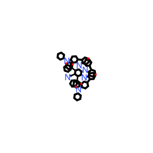 N#Cc1c(-c2ccccc2)c(-n2c3ccccc3c3ccc4c(c5ccccc5n4-c4ccccc4)c32)c(-n2c3ccccc3c3ccccc32)c(-n2c3ccccc3c3ccc4c(c5ccccc5n4-c4ccccc4)c32)c1-c1ccccc1